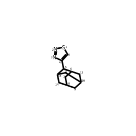 c1snnc1C1C2CC3CC(C2)CC1C3